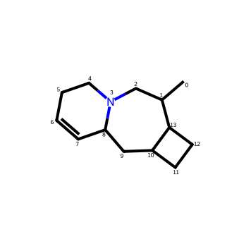 CC1CN2CCC=CC2CC2CCC12